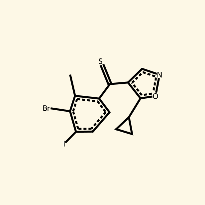 Cc1c(C(=S)c2cnoc2C2CC2)ccc(I)c1Br